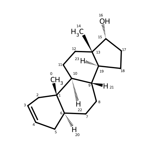 C[C@]12CC=CC[C@@H]1CC[C@@H]1[C@@H]2CC[C@]2(C)[C@H](O)CC[C@@H]12